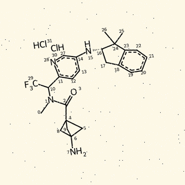 CN(C(=O)C12CC(N)(C1)C2)C(c1ccc(N[C@H]2Cc3ccccc3C2(C)C)cn1)C(F)(F)F.Cl.Cl